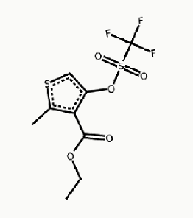 CCOC(=O)c1c(OS(=O)(=O)C(F)(F)F)csc1C